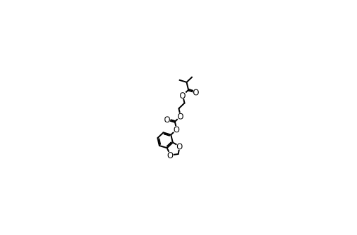 CC(C)C(=O)OCCOC(=O)Oc1cccc2c1OCO2